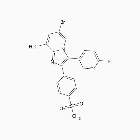 Cc1cc(Br)cn2c(-c3ccc(F)cc3)c(-c3ccc(S(C)(=O)=O)cc3)nc12